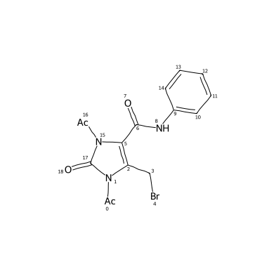 CC(=O)n1c(CBr)c(C(=O)Nc2ccccc2)n(C(C)=O)c1=O